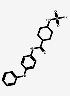 CC(C)S(=O)(=O)NC1CCC(C(=O)Nc2ccc(Nc3ccccc3)cc2)CC1